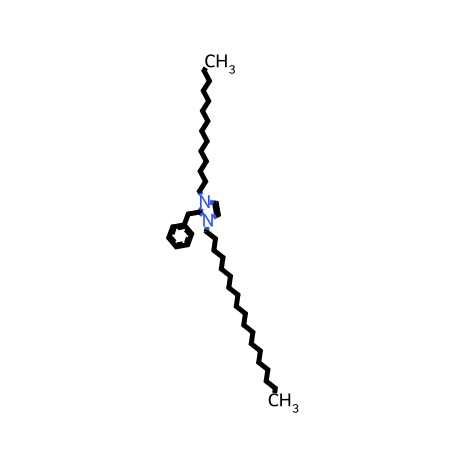 CCCCCCCCCCCCCCCCCCCN1C=CN(CCCCCCCCCCCCCC)C1Cc1ccccc1